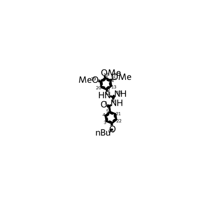 CCCCOc1ccc(C(=O)NC(=N)Nc2cc(OC)c(OC)c(OC)c2)cc1